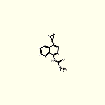 NNC(=S)Nc1ccc(C2CC2)c2ccccc12